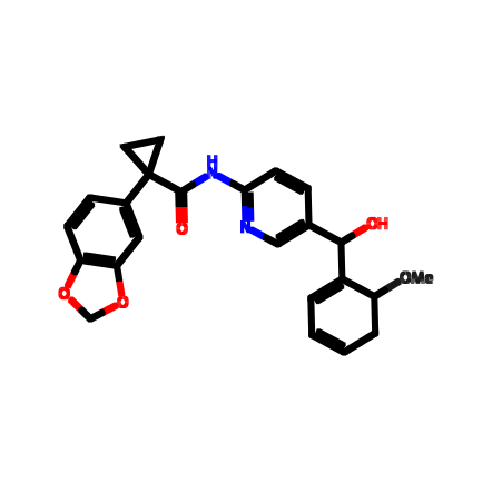 COC1CC=CC=C1C(O)c1ccc(NC(=O)C2(c3ccc4c(c3)OCO4)CC2)nc1